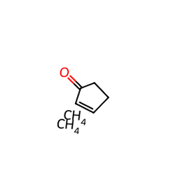 C.C.O=C1C=CCC1